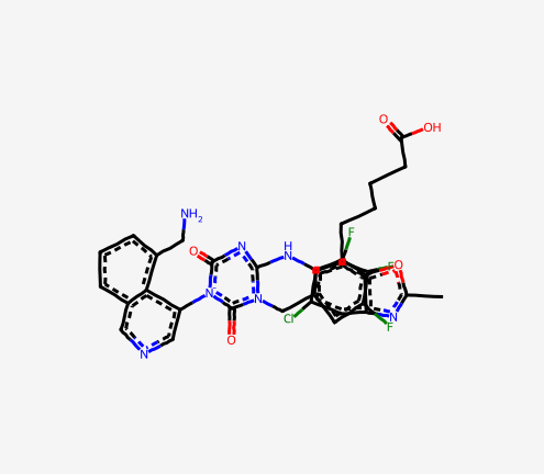 Cc1nc2cc(Cl)c(Nc3nc(=O)n(-c4cncc5cccc(CN)c45)c(=O)n3Cc3cc(F)c(F)c(F)c3)c(CCCCC(=O)O)c2o1